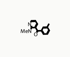 CNc1ncccc1C(=O)c1cccc(C)c1